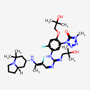 C\C(N[C@@H]1C[C@@H]2CCCN2C(C)(C)C1)=C(F)/C=N\C(=N\CC(C)(C)O)Nc1cc(-n2nnn(C)c2=O)c(OCC(C)(C)O)cc1F